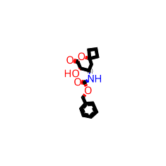 O=C(N[C@H]1CC2(CCC2)OC(=O)C1O)OCc1ccccc1